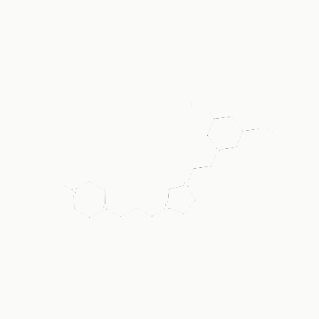 CC1CC(C)CN(CCN2CCN(CCCN3CCN(C)CC3)C2)C1